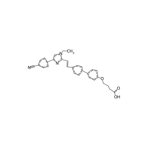 CCn1cc(-c2ccc(C#N)cc2)nc1/C=C/c1ccc(-c2ccc(OCCCC(=O)O)cc2)cc1